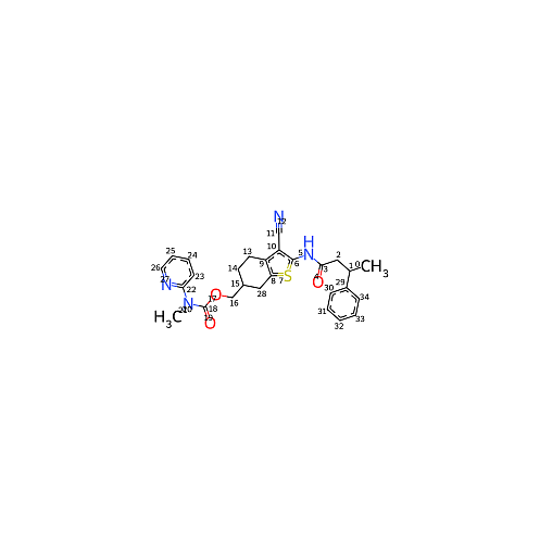 CC(CC(=O)Nc1sc2c(c1C#N)CCC(COC(=O)N(C)c1ccccn1)C2)c1ccccc1